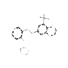 FC(F)(F)c1cc(CNc2cnccc2O[C@@H]2CCNC2)cc2nccnc12